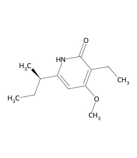 CCc1c(OC)cc([C@H](C)CC)[nH]c1=O